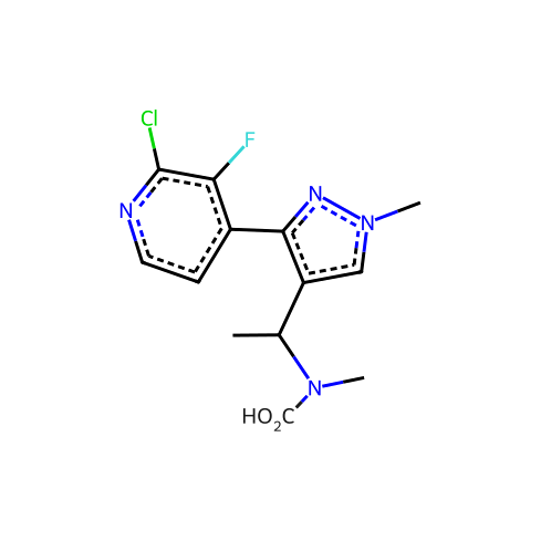 CC(c1cn(C)nc1-c1ccnc(Cl)c1F)N(C)C(=O)O